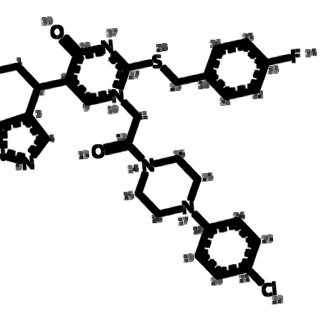 CCC(c1cn[nH]c1)c1cn(CC(=O)N2CCN(c3ccc(Cl)cc3)CC2)c(SCc2ccc(F)cc2)nc1=O